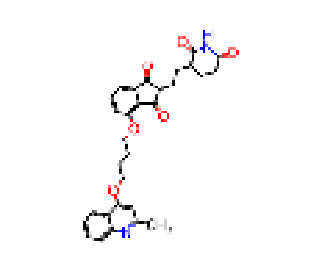 Cc1cc(OCCCCOc2cccc3c2C(=O)C(CCC2CCC(=O)NC2=O)C3=O)c2ccccc2n1